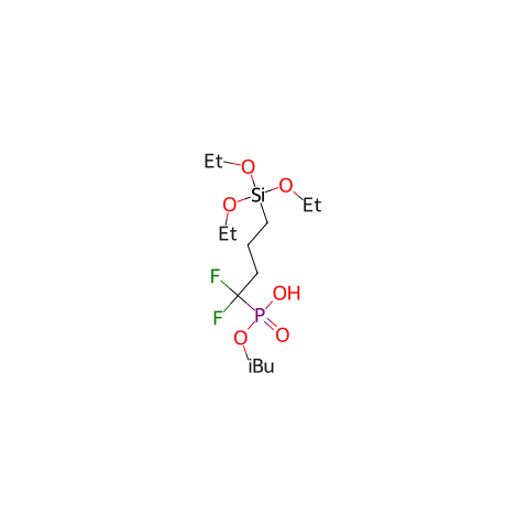 CCO[Si](CCCC(F)(F)P(=O)(O)OC(C)CC)(OCC)OCC